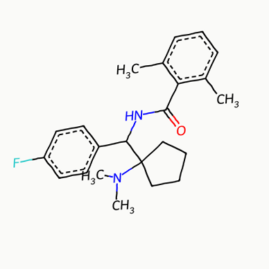 Cc1cccc(C)c1C(=O)NC(c1ccc(F)cc1)C1(N(C)C)CCCC1